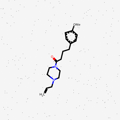 C=CCN1CCN(C(=O)CCCc2ccc(OC)cc2)CC1